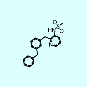 CS(=O)(=O)Nc1cccnc1Cc1cccc(Cc2ccccc2)c1